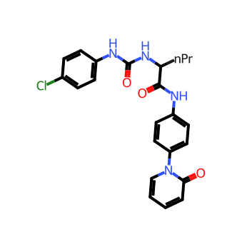 CCCC(NC(=O)Nc1ccc(Cl)cc1)C(=O)Nc1ccc(-n2ccccc2=O)cc1